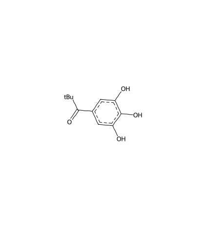 CC(C)(C)C(=O)c1cc(O)c(O)c(O)c1